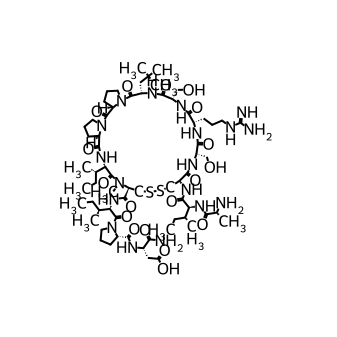 CC[C@H](C)[C@H](NC(=O)[C@H](C)N)C(=O)N[C@H]1CSSC[C@@H](C(=O)N[C@H](C(=O)N2CCC[C@H]2C(=O)N[C@@H](CC(=O)O)C(N)=O)[C@@H](C)CC)N(C)C(=O)[C@H]([C@@H](C)CC)NC(=O)[C@@H]2CCCN2C(=O)[C@@H]2CCCN2C(=O)[C@H](CC(C)(C)C)NC(=O)[C@H](CO)NC(=O)[C@H](CCCNC(=N)N)NC(=O)[C@H](CO)NC1=O